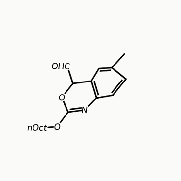 CCCCCCCCOC1=Nc2ccc(C)cc2C(C=O)O1